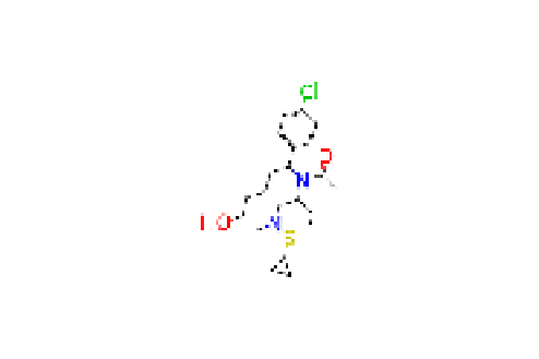 CCC(CN(C)SC1CC1)N(C(C)=O)C(CCCCO)c1ccc(Cl)cc1